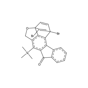 C[Si](C)(C)c1c2c3c(c4c1C(=O)c1ccccc1-4)C1(Br)C=CC3(OC2)C(Br)=C1